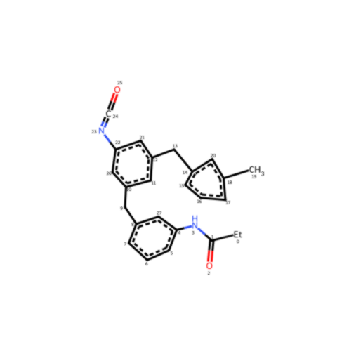 CCC(=O)Nc1cccc(Cc2cc(Cc3cccc(C)c3)cc(N=C=O)c2)c1